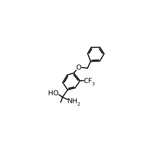 CC(N)(O)c1ccc(OCc2ccccc2)c(C(F)(F)F)c1